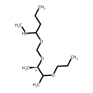 CCCOC(C)[C@@H](C)OCOC(CCC)NC